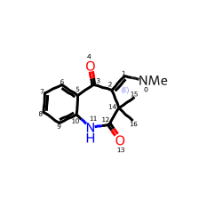 CN/C=C1/C(=O)c2ccccc2NC(=O)C1(C)C